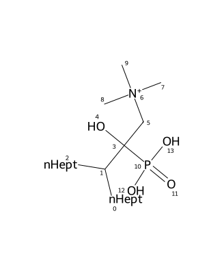 CCCCCCCC(CCCCCCC)C(O)(C[N+](C)(C)C)P(=O)(O)O